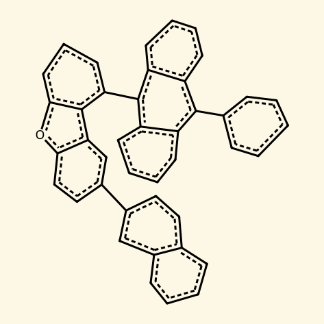 c1ccc(-c2c3ccccc3c(-c3cccc4oc5ccc(-c6ccc7ccccc7c6)cc5c34)c3ccccc23)cc1